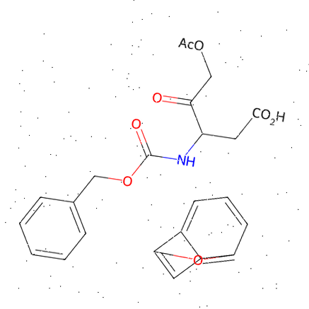 CC(=O)OCC(=O)C(CC(=O)O)NC(=O)OCc1ccccc1.c1cc2oc3cc2c3c1